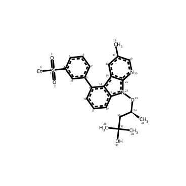 CCS(=O)(=O)c1cccc(-c2cccc3c2c2cc(C)cnc2n3O[C@@H](C)CC(C)(C)O)c1